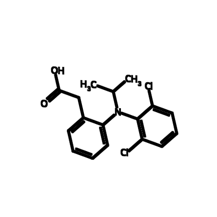 CC(C)N(c1ccccc1CC(=O)O)c1c(Cl)cccc1Cl